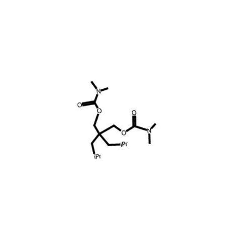 CC(C)CC(COC(=O)N(C)C)(COC(=O)N(C)C)CC(C)C